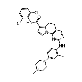 Cc1cc(N2CCN(C)CC2)ccc1Nc1ncc2c(n1)-n1ccc(C(=O)Nc3c(Cl)cccc3Cl)c1CC2